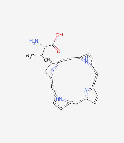 C1=Cc2cc3ccc(cc4nc(cc5ccc(cc1n2)[nH]5)CC4)[nH]3.CC(C)[C@H](N)C(=O)O